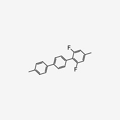 Cc1ccc(-c2ccc(-c3c(F)cc(C)cc3F)cc2)cc1